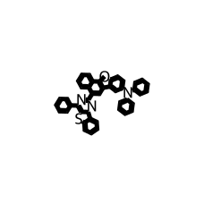 c1ccc(-c2nc(-c3cc4c5cc(N(c6ccccc6)c6ccccc6)ccc5oc4c4ccccc34)nc3c2sc2ccccc23)cc1